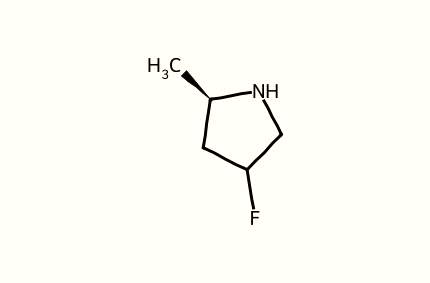 C[C@@H]1CC(F)CN1